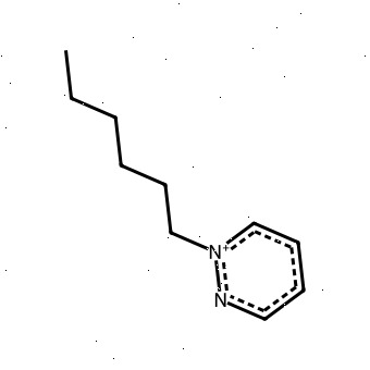 CCCCCC[n+]1ccccn1